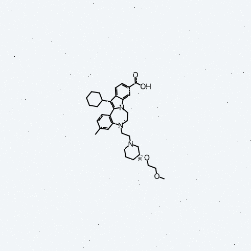 COCCO[C@@H]1CCCN(CCN2CCn3c(c(C4CCCCC4)c4ccc(C(=O)O)cc43)-c3ccc(C)cc32)C1